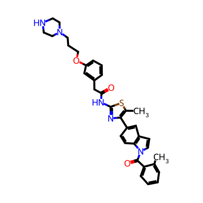 Cc1ccccc1C(=O)n1ccc2cc(-c3nc(NC(=O)Cc4cccc(OCCCN5CCNCC5)c4)sc3C)ccc21